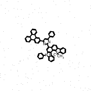 C[Si]1(C)c2ccccc2-c2ccc3c(-c4nc(-c5ccccc5)cc(-c5ccc6c7ccccc7c7ccccc7c6c5)n4)cc4c(c5ccccc5n4-c4ccccc4)c3c21